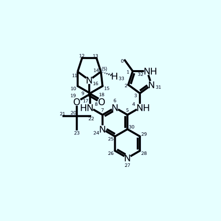 Cc1cc(Nc2nc(NC3CC4CC[C@@H](C3)N4C(=O)OC(C)(C)C)nc3cnccc23)n[nH]1